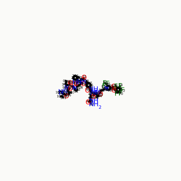 CC[C@H](C)[C@@H]([C@@H](CC(=O)N1CCC[C@H]1[C@H](OC)[C@@H](C)C(=O)N[C@@H](Cc1ccccc1)C(=O)NCc1ccc(NC(=O)[C@H](CCCNC(N)=O)NC(=O)[C@@H](NC(=O)CCCN2CC[C@@H](C(=O)Oc3c(F)c(F)c(F)c(F)c3F)C[C@H]2C(F)(F)F)C(C)C)cc1)OC)N(C)C(=O)[C@@H](NC(=O)[C@H](C(C)C)N(C)C)C(C)C